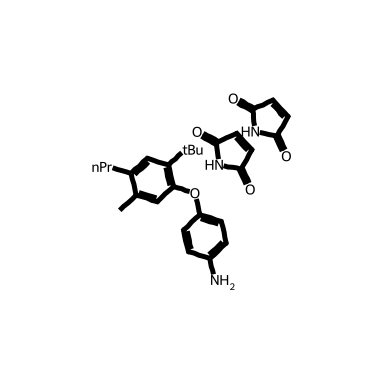 CCCc1cc(C(C)(C)C)c(Oc2ccc(N)cc2)cc1C.O=C1C=CC(=O)N1.O=C1C=CC(=O)N1